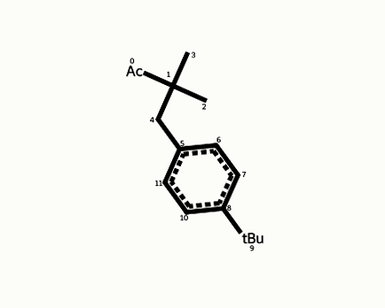 CC(=O)C(C)(C)Cc1ccc(C(C)(C)C)cc1